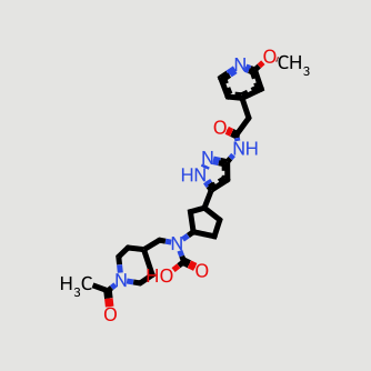 COc1cc(CC(=O)Nc2cc(C3CCC(N(CC4CCN(C(C)=O)CC4)C(=O)O)C3)[nH]n2)ccn1